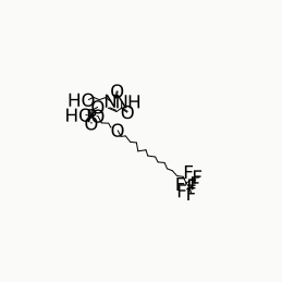 O=c1ccn(CC(CO)OCP(=O)(O)OCCCOCCCCCCCCCCCCCCC(F)(C(F)(F)F)C(F)(F)F)c(=O)[nH]1